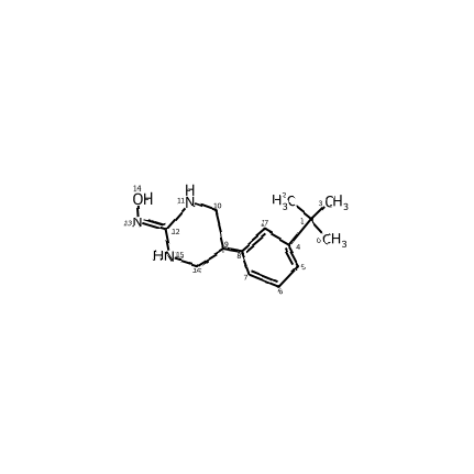 CC(C)(C)c1cccc([C]2CNC(=NO)NC2)c1